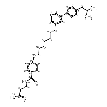 CC(C)Cc1ccc(-c2cncc(CCCCCCCOc3ccc(C(=O)NCCC(=O)O)cc3)c2)cc1